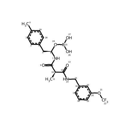 Cc1ccc(C[C@H](NC(=O)[C@H](C)C(=O)NCc2cccc(OC(F)(F)F)c2)OB(O)O)cc1